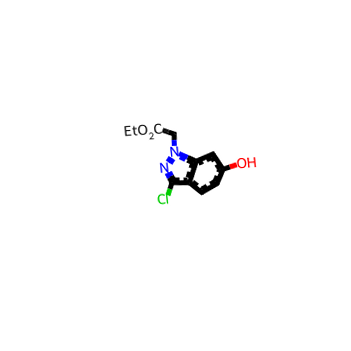 CCOC(=O)Cn1nc(Cl)c2ccc(O)cc21